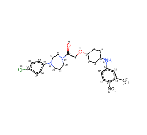 O=C(CO[C@H]1CC[C@H](Nc2ccc([N+](=O)[O-])c(C(F)(F)F)c2)CC1)N1CCCN(c2ccc(Cl)cc2)CC1